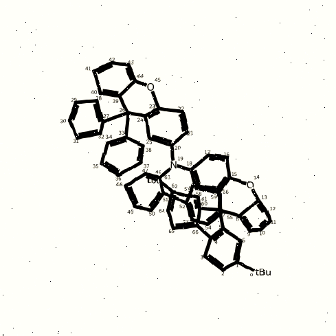 CC(C)(C)c1ccc2c(c1)C1(c3ccccc3Oc3ccc(N(c4ccc5c(c4)C(c4ccccc4)(c4ccccc4)c4ccccc4O5)c4ccccc4-c4ccccc4)cc31)c1cc(C(C)(C)C)ccc1-2